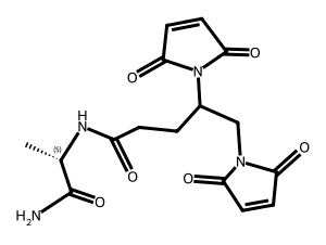 C[C@H](NC(=O)CCC(CN1C(=O)C=CC1=O)N1C(=O)C=CC1=O)C(N)=O